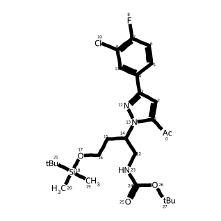 CC(=O)c1cc(-c2ccc(F)c(Cl)c2)nn1C(CCO[Si](C)(C)C(C)(C)C)CNC(=O)OC(C)(C)C